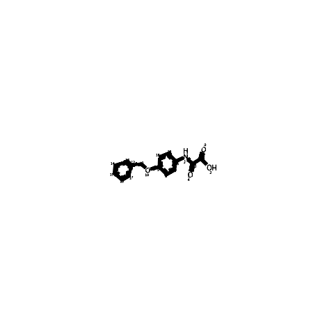 O=C(O)C(=O)Nc1ccc(OCc2ccccc2)cc1